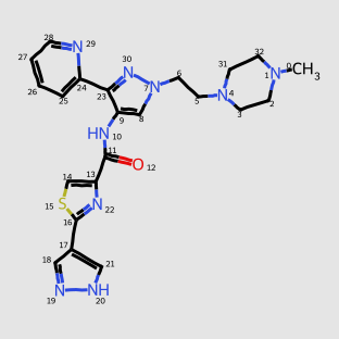 CN1CCN(CCn2cc(NC(=O)c3csc(-c4cn[nH]c4)n3)c(-c3ccccn3)n2)CC1